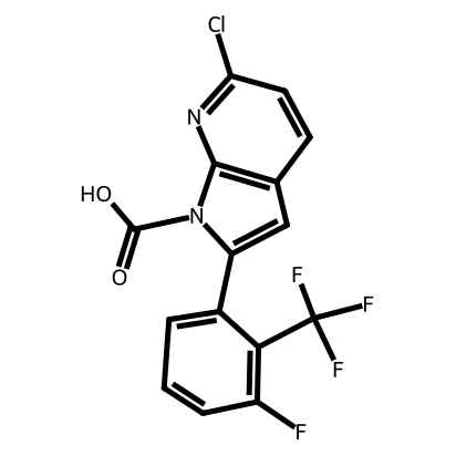 O=C(O)n1c(-c2cccc(F)c2C(F)(F)F)cc2ccc(Cl)nc21